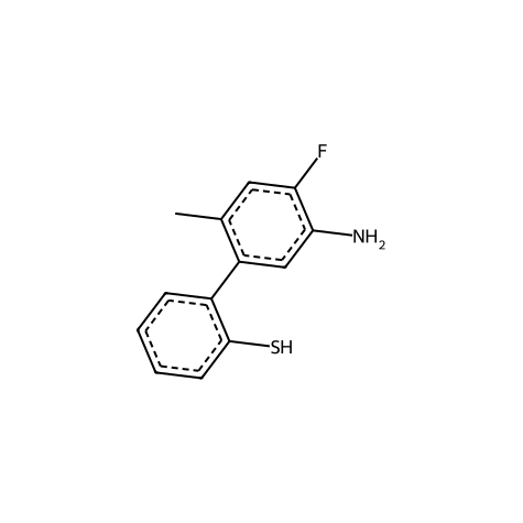 Cc1cc(F)c(N)cc1-c1ccccc1S